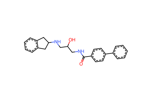 O=C(NCC(O)CNC1Cc2ccccc2C1)c1ccc(-c2ccccc2)cc1